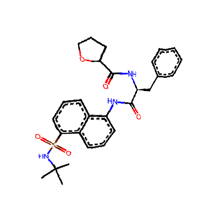 CC(C)(C)NS(=O)(=O)c1cccc2c(NC(=O)[C@H](Cc3ccccc3)NC(=O)C3CCCO3)cccc12